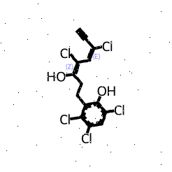 C#C/C(Cl)=C\C(Cl)=C(\O)CCc1c(O)c(Cl)cc(Cl)c1Cl